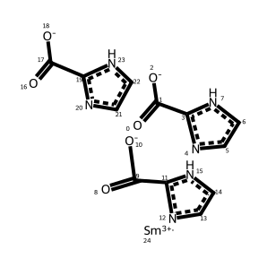 O=C([O-])c1ncc[nH]1.O=C([O-])c1ncc[nH]1.O=C([O-])c1ncc[nH]1.[Sm+3]